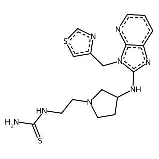 NC(=S)NCCN1CCC(Nc2nc3cccnc3n2Cc2cscn2)C1